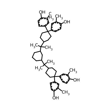 Cc1cc(C2(c3ccc(O)c(C)c3)CCC(C(C)(C)C3CCCC(C(C)(C)C4CCC(c5ccc(O)c(C)c5)(c5ccc(O)c(C)c5)CC4)C3)CC2)ccc1O